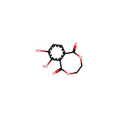 O=C1OCCOC(=O)c2c1ccc(O)c2O